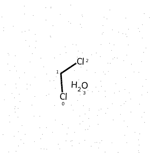 ClCCl.O